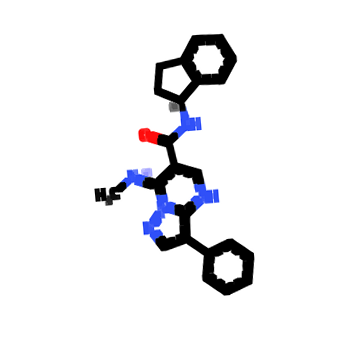 C/N=c1/c(C(=O)N[C@H]2CCc3ccccc32)c[nH]c2c(-c3ccccc3)cnn12